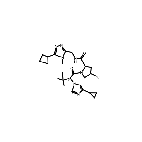 Cn1c(CNC(=O)C2CC(O)CN2C(=O)[C@@H](n2cc(C3CC3)nn2)C(C)(C)C)nnc1C1CCC1